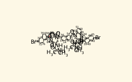 CN[C@@H](C)C(=O)N[C@H]1CN(C(=O)c2ccc3ccc(C(=O)N4C[C@H](NC(=O)[C@H](C)NC)C(=O)N(Cc5c(OC)ccc6cc(Br)ccc56)c5ccccc54)cc3c2)c2ccccc2N(Cc2c(OC)ccc3cc(Br)ccc23)C1=O